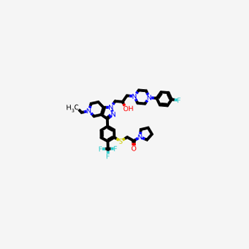 CCN1CCc2c(c(-c3ccc(C(F)(F)F)c(SCC(=O)N4CCCC4)c3)nn2CC(O)CN2CCN(c3ccc(F)cc3)CC2)C1